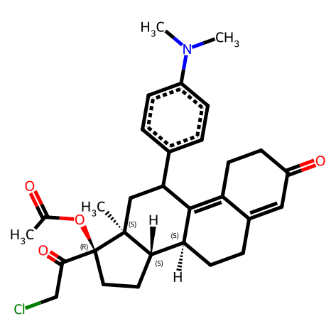 CC(=O)O[C@]1(C(=O)CCl)CC[C@H]2[C@@H]3CCC4=CC(=O)CCC4=C3C(c3ccc(N(C)C)cc3)C[C@@]21C